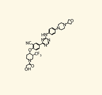 N#Cc1cc(-c2ncnc(Nc3ccc(N4CCN(C5COC5)CC4)cc3)n2)ccc1O[C@@H]1CCN(C(=O)CO)C[C@@H]1C(F)(F)F